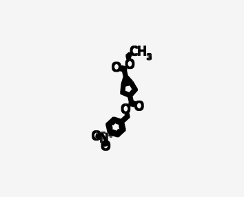 CCOC(=O)C1C2CC(C(=O)OCc3ccc([N+](=O)[O-])cc3)CC21